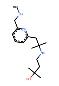 CC(C)(O)CCNC(C)(C)Cc1cccc(CNC(C)(C)C)n1